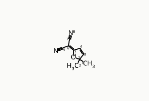 CC1(C)C=CC(=C(C#N)C#N)O1